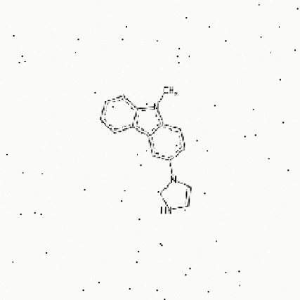 Cn1c2ccccc2c2cc(N3C=CNC3)ccc21